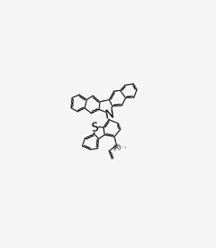 C=C[C@@H](C)c1ccc(-n2c3cc4ccccc4cc3c3cc4ccccc4cc32)c2sc3ccccc3c12